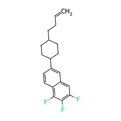 C=CCCC1CCC(c2ccc3c(F)c(F)c(F)cc3c2)CC1